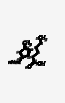 CCCCCC(=O)O.CCCCCCN1C=CN(C)C1